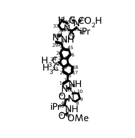 COC(=O)N[C@H](C(=O)N1CCC[C@H]1c1ncc(-c2ccc3c(c2)C(C)(C)c2cc(-c4cnc([C@@H]5CCCN5C(=O)[C@H](C(C)C)N(C)C(=O)O)[nH]4)ccc2-3)[nH]1)C(C)C